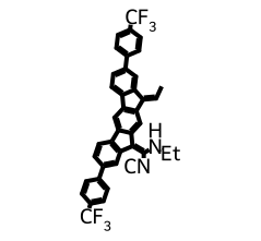 C/C=C1\c2cc(-c3ccc(C(F)(F)F)cc3)ccc2-c2cc3c(cc21)/C(=C(/C#N)NCC)c1cc(-c2ccc(C(F)(F)F)cc2)ccc1-3